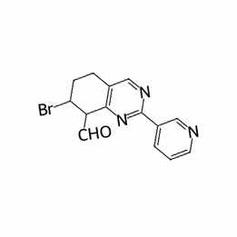 O=CC1c2nc(-c3cccnc3)ncc2CCC1Br